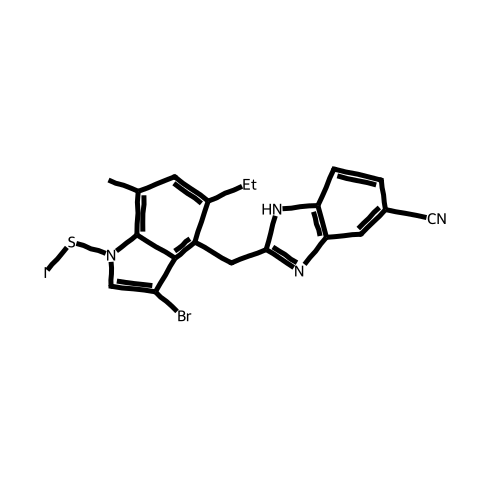 CCc1cc(C)c2c(c(Br)cn2SI)c1Cc1nc2cc(C#N)ccc2[nH]1